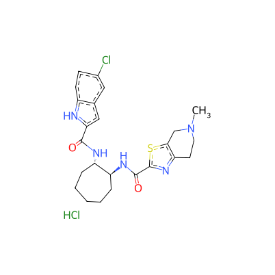 CN1CCc2nc(C(=O)N[C@H]3CCCCC[C@@H]3NC(=O)c3cc4cc(Cl)ccc4[nH]3)sc2C1.Cl